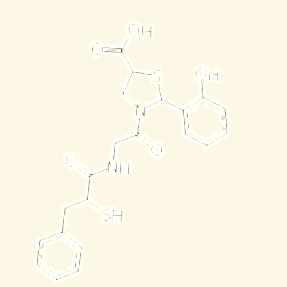 O=C(NCC(=O)N1CC(C(=O)O)SC1c1ccccc1O)C(S)Cc1ccccc1